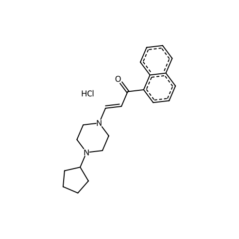 Cl.O=C(C=CN1CCN(C2CCCC2)CC1)c1cccc2ccccc12